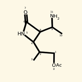 CC(=O)OCC(C)C1NC(=O)C1C(C)N